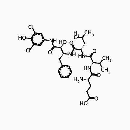 CC(C)C[C@H](NC(=O)[C@@H](NC(=O)[C@@H](N)CCC(=O)O)C(C)C)C(=O)N[C@@H](Cc1ccccc1)[C@@H](O)C(=O)Nc1cc(Cl)c(O)c(Cl)c1